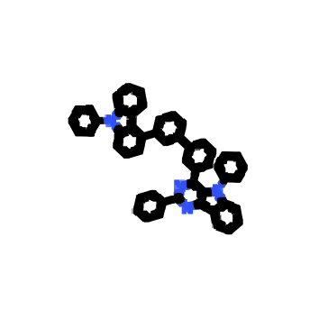 c1ccc(-c2nc(-c3cccc(-c4cccc(-c5cccc6c5c5ccccc5n6-c5ccccc5)c4)c3)c3c(n2)c2ccccc2n3-c2ccccc2)cc1